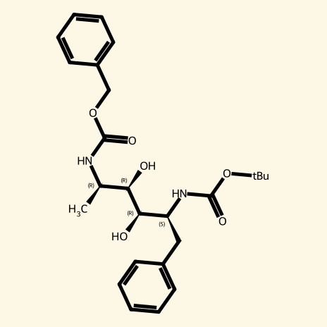 C[C@@H](NC(=O)OCc1ccccc1)[C@@H](O)[C@H](O)[C@H](Cc1ccccc1)NC(=O)OC(C)(C)C